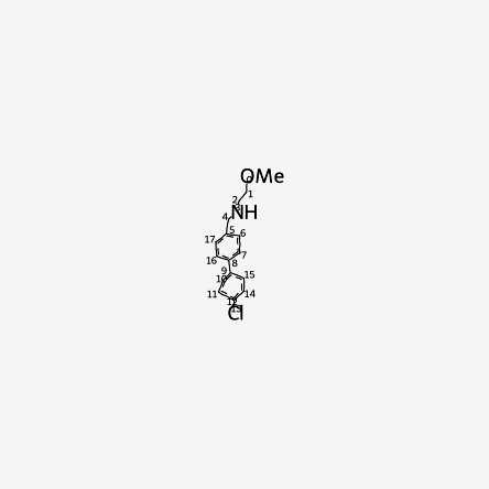 COCCNCc1ccc(-c2ccc(Cl)cc2)cc1